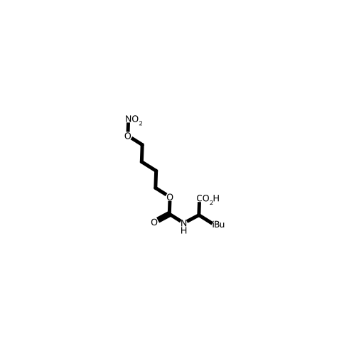 CCC(C)C(NC(=O)OCCCCO[N+](=O)[O-])C(=O)O